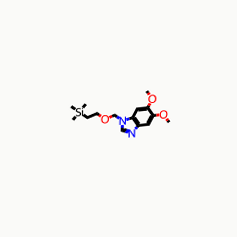 COc1cc2ncn(COCC[Si](C)(C)C)c2cc1OC